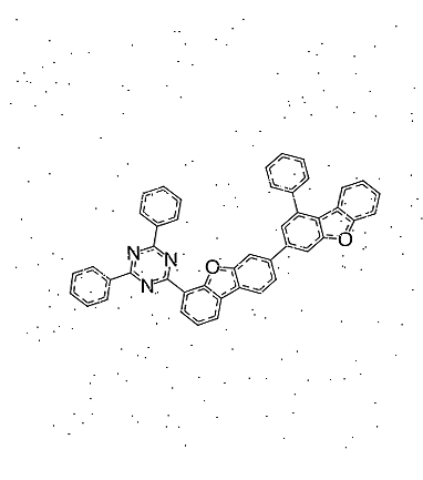 c1ccc(-c2nc(-c3ccccc3)nc(-c3cccc4c3oc3cc(-c5cc(-c6ccccc6)c6c(c5)oc5ccccc56)ccc34)n2)cc1